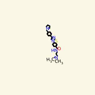 CCN(CC)CCCNC(=O)c1ccc2c(c1)sc1nc(-c3ccc(CN4CCCC4)cc3)cn12